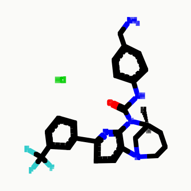 Cl.NCc1ccc(NC(=O)N2c3nc(-c4cccc(C(F)(F)F)c4)ccc3N3CCC[C@H]2C3)cc1